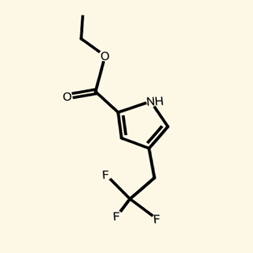 CCOC(=O)c1cc(CC(F)(F)F)c[nH]1